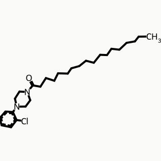 CCCCCCCCCCCCCCCCCC(=O)N1CCN(c2ccccc2Cl)CC1